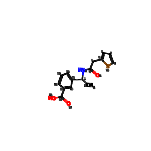 CC(NC(=O)Cc1cccs1)c1cccc(C(=O)O)c1